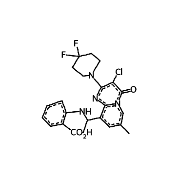 Cc1cc(C(C)Nc2ccccc2C(=O)O)c2nc(N3CCC(F)(F)CC3)c(Cl)c(=O)n2c1